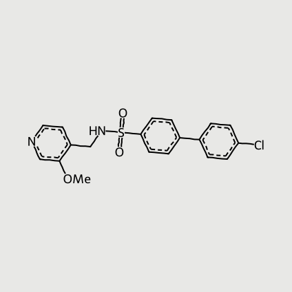 COc1cnccc1CNS(=O)(=O)c1ccc(-c2ccc(Cl)cc2)cc1